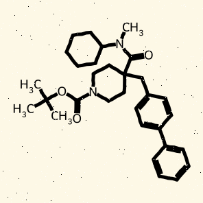 CN(C(=O)C1(Cc2ccc(-c3ccccc3)cc2)CCN(C(=O)OC(C)(C)C)CC1)C1CCCCC1